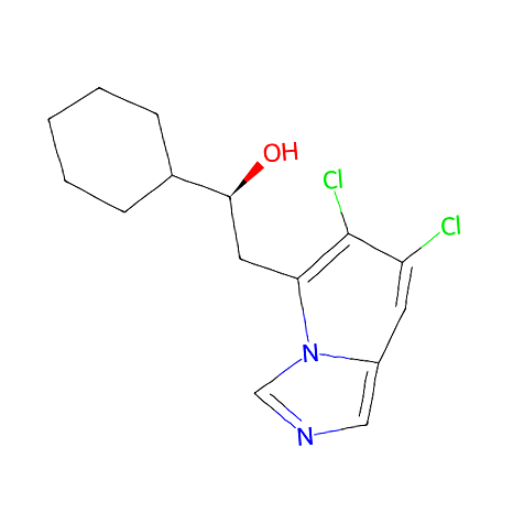 O[C@@H](Cc1c(Cl)c(Cl)cc2cncn12)C1CCCCC1